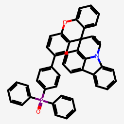 O=P(c1ccccc1)(c1ccccc1)c1ccc(-c2ccc3c(c2)C2(c4ccccc4O3)c3ccccc3-n3c4ccccc4c4cccc2c43)cc1